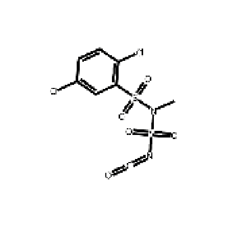 CN(S(=O)(=O)N=C=O)S(=O)(=O)c1cc(Cl)ccc1Cl